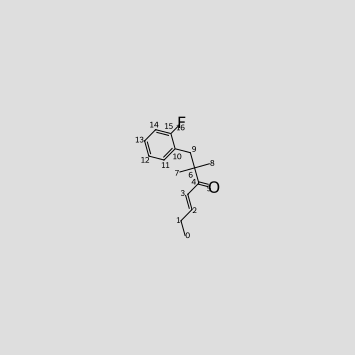 CCC=CC(=O)C(C)(C)Cc1ccccc1F